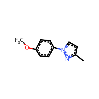 Cc1ccn(-c2ccc(OC(F)(F)F)cc2)n1